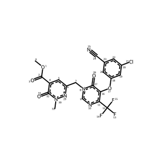 COC(=O)c1cc(Cn2cnc(C(F)(F)F)c(Oc3cc(Cl)cc(C#N)c3)c2=O)nn(C)c1=O